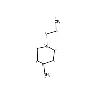 NC1CCN(CCC(F)(F)F)CC1